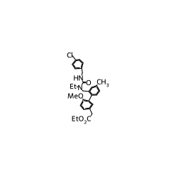 CCOC(=O)Cc1ccc(OC)c(-c2ccc(C)cc2CN(CC)C(=O)NCc2ccc(Cl)cc2)c1